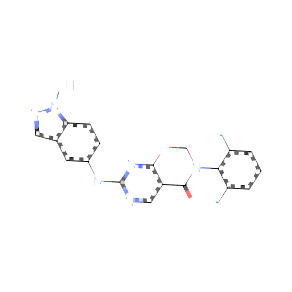 Cn1ncc2cc(Nc3ncc4c(n3)OCN(c3c(Cl)cccc3Cl)C4=O)ccc21